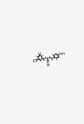 Oc1ccc(SCC(O)COc2cc(Cl)cc(Cl)c2)cc1